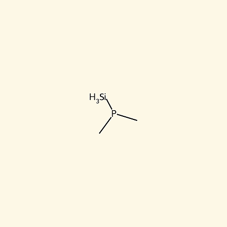 CP(C)[SiH3]